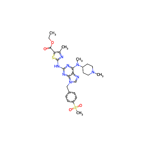 CCOC(=O)c1sc(Nc2nc(N(C)C3CCN(C)CC3)c3ncn(Cc4ccc(S(C)(=O)=O)cc4)c3n2)nc1C